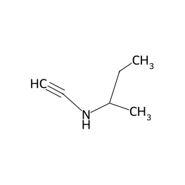 C#CNC(C)CC